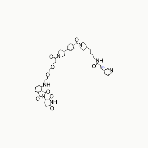 O=C(/C=C/c1cccnc1)NCCCCC1CCN(C(=O)c2ccc(C3CCN(C(=O)CCOCCOCCNc4cccc5c4C(=O)N(C4CCC(=O)NC4=O)C5=O)CC3)cc2)CC1